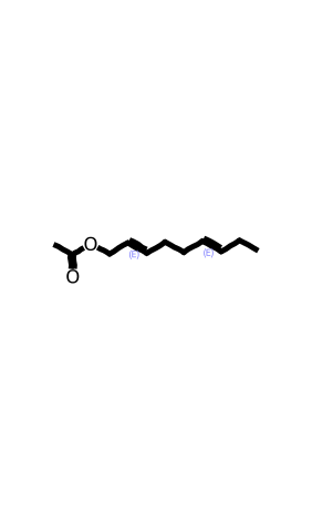 CC/C=C/CC/C=C/COC(C)=O